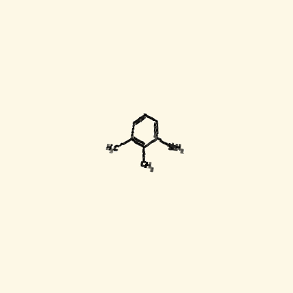 Cc1ccc[c]([SbH2])c1C